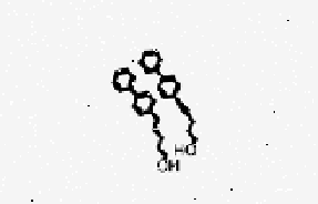 OCCCC#Cc1ccc(-c2ccccc2)cc1.OCCCCCc1ccc(-c2ccccc2)cc1